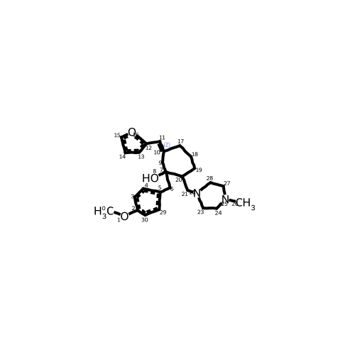 COc1ccc(CC2(O)C/C(=C\c3ccco3)CCCC2CN2CCN(C)CC2)cc1